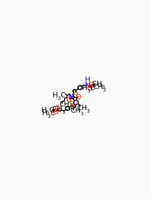 CCCCCC(CC)CN1C(=O)C2=C(c3ccc(-c4ccc(CCCC(=O)OC(C)(C)C)cc4)s3)C(CC(CC)CCCC)C(=O)C2=C1c1ccc(-c2ccc(CCNC(=O)OC(C)(C)C)cc2)s1